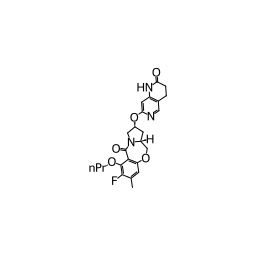 CCCOc1c(F)c(C)cc2c1C(=O)N1C[C@@H](Oc3cc4c(cn3)CCC(=O)N4)C[C@@H]1CO2